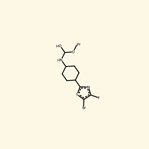 CC(C)OC(O)NC1CCC(c2nc(F)c(Br)s2)CC1